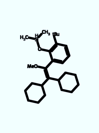 COC(=C(C1CCCCC1)C1CCCCC1)c1cccc(C(C)(C)C)c1O[SiH](C)C